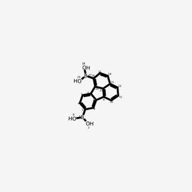 OB(O)c1ccc2c(c1)-c1cccc3ccc(B(O)O)c-2c13